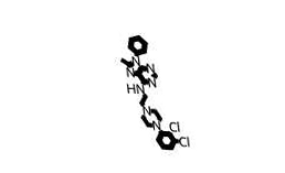 Cc1nc2c(NCCN3CCN(c4cccc(Cl)c4Cl)CC3)ncnc2n1-c1ccccc1